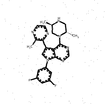 Cc1nccnc1-c1cn(-c2cc(F)cc(F)c2)c2ncnc(N3C[C@@H](C)NC[C@@H]3C)c12